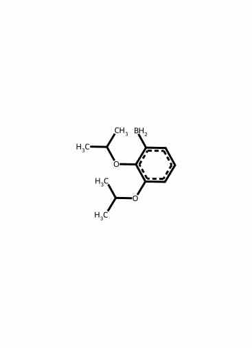 Bc1cccc(OC(C)C)c1OC(C)C